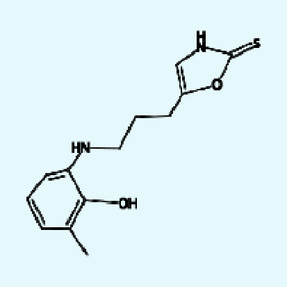 Cc1cccc(NCCCc2c[nH]c(=S)o2)c1O